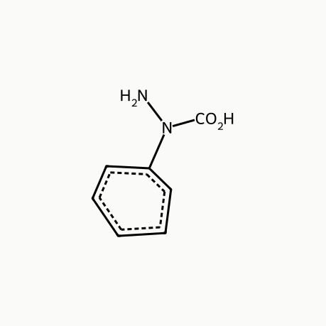 NN(C(=O)O)c1ccccc1